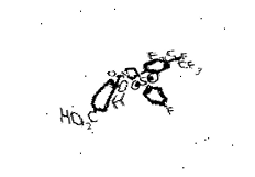 O=C(O)C1CCC(O)(C(=O)N2CC[C@](c3ccc(C(F)(C(F)(F)F)C(F)(F)F)cc3)(S(=O)(=O)c3ccc(F)cc3)C2)CC1